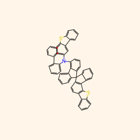 c1ccc(-c2ccccc2N(c2ccc3sc4ccccc4c3c2)c2cccc3c2-c2ccccc2C32c3ccccc3-c3c2ccc2c3sc3ccccc32)cc1